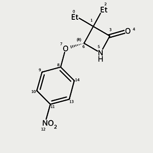 CCC1(CC)C(=O)N[C@@H]1Oc1ccc([N+](=O)[O-])cc1